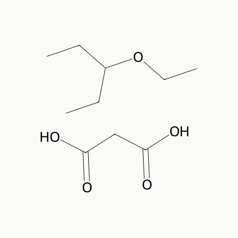 CCOC(CC)CC.O=C(O)CC(=O)O